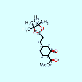 COC(=O)C1CC[C@@H](CCB2OC(C)(C)C(C)(C)O2)CC1=O